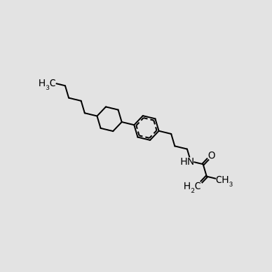 C=C(C)C(=O)NCCCc1ccc(C2CCC(CCCCC)CC2)cc1